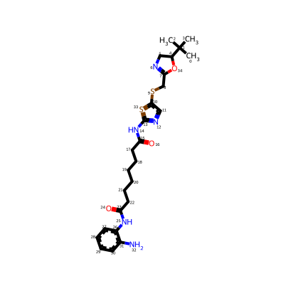 CC(C)(C)C1CN=C(CSc2cnc(NC(=O)CCCCCCC(=O)Nc3ccccc3N)s2)O1